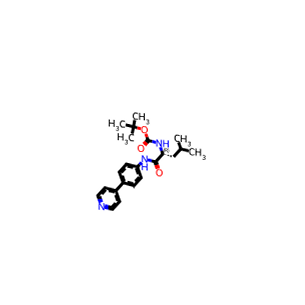 CC(C)C[C@@H](NC(=O)OC(C)(C)C)C(=O)Nc1c[c]c(-c2ccncc2)cc1